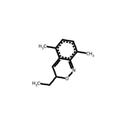 CCC1C=c2c(C)ccc(C)c2=NO1